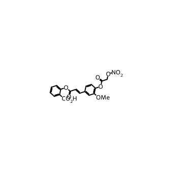 COc1cc(/C=C/C(=O)Oc2ccccc2C(=O)O)ccc1OC(=O)CO[N+](=O)[O-]